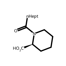 CCCCCCCC(=O)N1CCCC[C@H]1C(=O)O